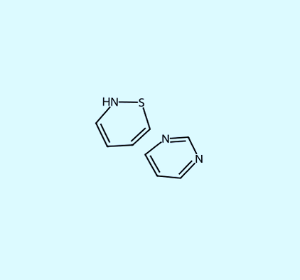 C1=CNSC=C1.c1cncnc1